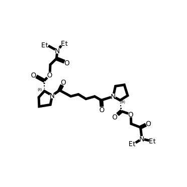 CCN(CC)C(=O)COC(=O)[C@H]1CCCN1C(=O)CCCCC(=O)N1CCC[C@@H]1C(=O)OCC(=O)N(CC)CC